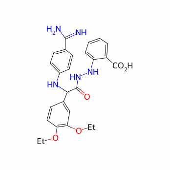 CCOc1ccc(C(Nc2ccc(C(=N)N)cc2)C(=O)NNc2ccccc2C(=O)O)cc1OCC